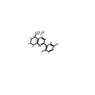 Cc1ccc(C)c(-c2ccc3c(n2)CCCC3C(=O)O)c1